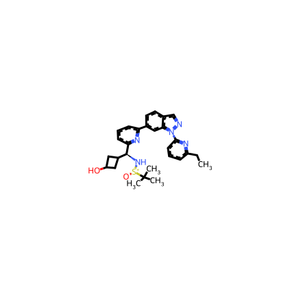 CCc1cccc(-n2ncc3ccc(-c4cccc([C@@H](N[S@+]([O-])C(C)(C)C)C5CC(O)C5)n4)cc32)n1